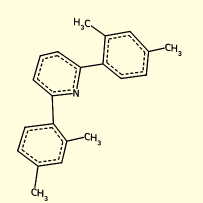 Cc1ccc(-c2cccc(-c3ccc(C)cc3C)n2)c(C)c1